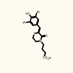 CC(C)c1cc(C=C2SCCN(CCCC(=O)O)C2=O)cc(C(C)C)c1O